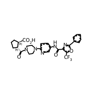 O=C(Nc1ccc(N2CCN(C(=O)[C@@H]3CCC[C@H]3C(=O)O)CC2)nc1)c1nc(-c2ccccc2)oc1C(F)(F)F